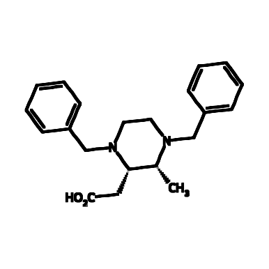 C[C@@H]1[C@H](CC(=O)O)N(Cc2ccccc2)CCN1Cc1ccccc1